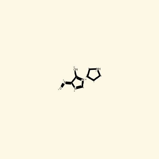 C1CCNC1.O=S=C1N=CN=C1O